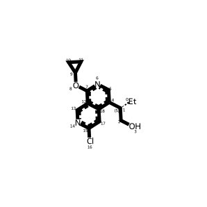 CC[C@H](CO)c1cnc(OC2CC2)c2cnc(Cl)cc12